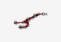 C=CC(=O)OCCCCCCCCCOc1ccc2c3ccc(OC(=O)c4ccc(COC5CCC(C(=O)Oc6ccc(OCCCCCCO)cc6)CC5)cc4)cc3c3nc4ccc(Oc5ccc(OCCOCCOC(=O)C=C)cc5)cc4nc3c2c1